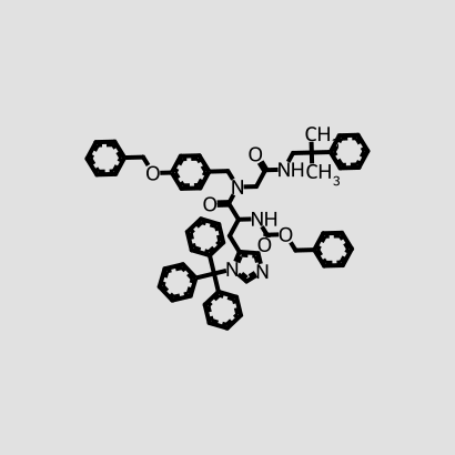 CC(C)(CNC(=O)CN(Cc1ccc(OCc2ccccc2)cc1)C(=O)C(Cc1cncn1C(c1ccccc1)(c1ccccc1)c1ccccc1)NC(=O)OCc1ccccc1)c1ccccc1